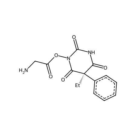 CC[C@@]1(c2ccccc2)C(=O)NC(=O)N(OC(=O)CN)C1=O